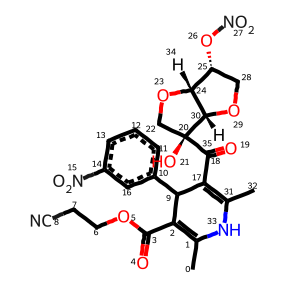 CC1=C(C(=O)OCCC#N)C(c2cccc([N+](=O)[O-])c2)C(C(=O)[C@]2(O)CO[C@@H]3[C@H](O[N+](=O)[O-])CO[C@@H]32)=C(C)N1